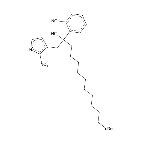 CCCCCCCCCCCCCCCCCCCCC(C#N)(Cn1ccnc1[N+](=O)[O-])c1ccccc1C#N